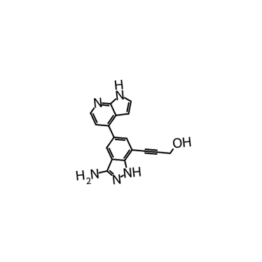 Nc1n[nH]c2c(C#CCO)cc(-c3ccnc4[nH]ccc34)cc12